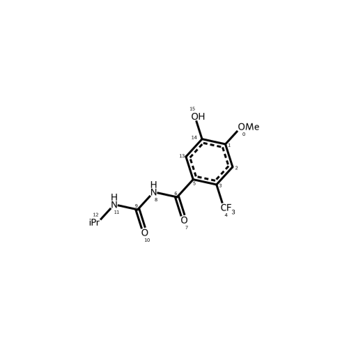 COc1cc(C(F)(F)F)c(C(=O)NC(=O)NC(C)C)cc1O